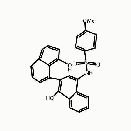 COc1ccc(S(=O)(=O)Nc2cc(-c3cccc4cccc(O)c34)c(O)c3ccccc23)cc1